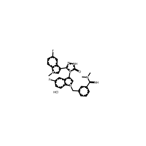 CN(C)C(=N)c1cccc(Cn2cc(-n3c(-c4cn(C)c5ccc(F)cc45)n[nH]c3=O)c3cc(F)ccc32)c1.Cl